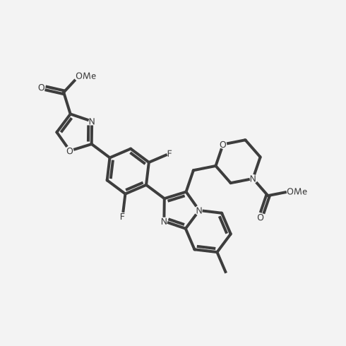 COC(=O)c1coc(-c2cc(F)c(-c3nc4cc(C)ccn4c3CC3CN(C(=O)OC)CCO3)c(F)c2)n1